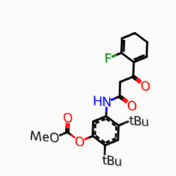 COC(=O)Oc1cc(NC(=O)CC(=O)C2=CCCC=C2F)c(C(C)(C)C)cc1C(C)(C)C